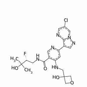 CC(C)(O)[C@H](F)CNC(=O)c1cnc(-c2cnn3cc(Cl)cnc23)cc1NCC1(O)COC1